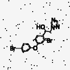 OC(Cn1cncn1)c1ccc(Oc2ccc(Br)cc2)cc1Br